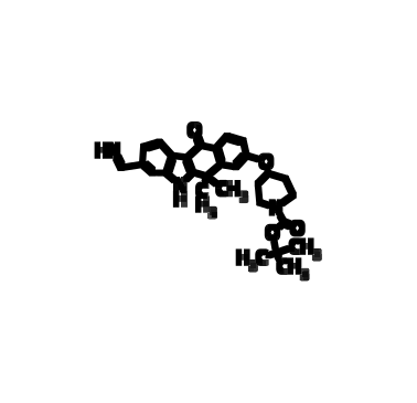 CC(C)(C)OC(=O)N1CCC(Oc2ccc3c(c2)C(C)(C)c2[nH]c4cc(C=N)ccc4c2C3=O)CC1